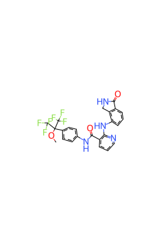 COC(c1ccc(NC(=O)c2cccnc2Nc2cccc3c2CNC3=O)cc1)(C(F)(F)F)C(F)(F)F